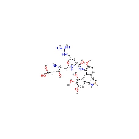 COc1ccc(-c2csnc2-c2cc(OC)c(OC)c(OC)c2)cc1NC(=O)[C@H](CCCNC(=N)N)NC(=O)CCC(=O)[C@@H](N)CC(=O)O